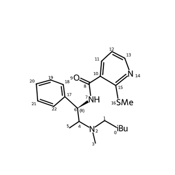 CCC(C)CN(C)C(C)[C@H](NC(=O)c1cccnc1SC)c1ccccc1